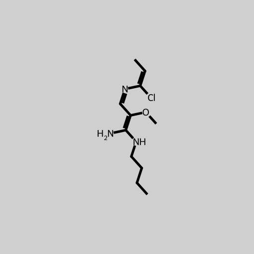 C\C=C(Cl)/N=C\C(OC)=C(/N)NCCCC